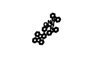 c1ccc2c(c1)-c1ccccc1C21c2ccccc2-c2c(-c3ccc4oc5nc(-n6c7ccccc7c7ccccc76)nc(-n6c7ccccc7c7ccccc76)c5c4c3)cccc21